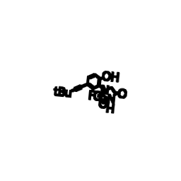 CC(C)(C)C#Cc1ccc(O)c(N2CC(=O)NS2(=O)=O)c1F